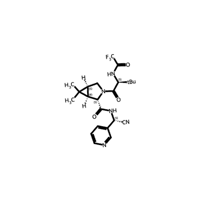 CC(C)(C)[C@H](NC(=O)C(F)(F)F)C(=O)N1C[C@H]2[C@@H]([C@H]1C(=O)N[C@H](C#N)c1cccnc1)C2(C)C